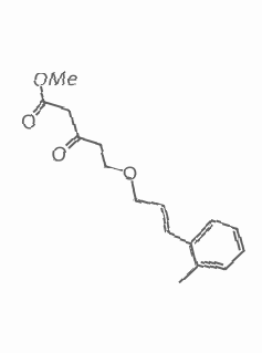 COC(=O)CC(=O)CCOC/C=C/c1ccccc1C